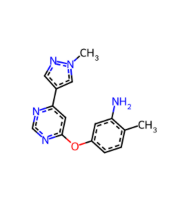 Cc1ccc(Oc2cc(-c3cnn(C)c3)ncn2)cc1N